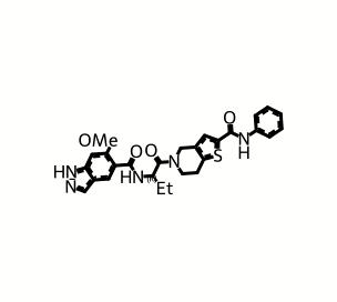 CC[C@@H](NC(=O)c1cc2cn[nH]c2cc1OC)C(=O)N1CCc2sc(C(=O)Nc3ccccc3)cc2C1